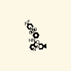 O=C(Nc1cccc(S(=O)(=O)N2CCC(F)(F)CC2)c1)c1cccnc1N1CCC2(CC1)CC2